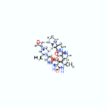 Cc1[nH]c(=O)c(Nc2ccc(N3CCN(C4COC4)C[C@@H]3C)cn2)cc1-c1ccnc(-n2ccc3c(cc4n3CCCC4)c2=O)c1CO